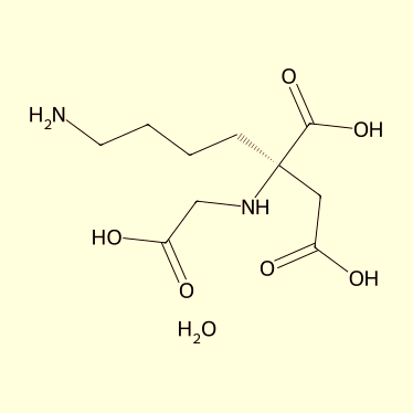 NCCCC[C@](CC(=O)O)(NCC(=O)O)C(=O)O.O